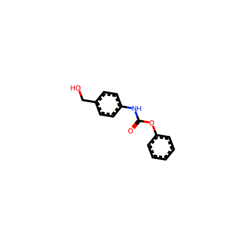 O=C(Nc1ccc(CO)cc1)Oc1ccccc1